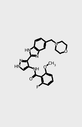 COc1cccc(F)c1C(=O)Nc1c[nH]nc1-c1nc2cc(CN3CCOCC3)ccc2[nH]1